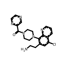 NCCc1cc(Cl)c2cccnc2c1N1CCN(C(=O)c2cnccn2)CC1